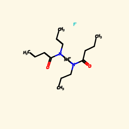 CCCC(=O)[N](CCC)[Nd+][N](CCC)C(=O)CCC.[F-]